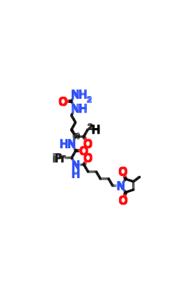 [2H]CC(=O)[C@H](CCCNC(N)=O)NC(=O)C(NC(=O)CCCCCN1C(=O)CC(C)C1=O)C(C)C